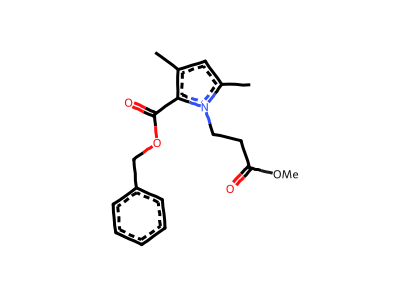 COC(=O)CCn1c(C)cc(C)c1C(=O)OCc1ccccc1